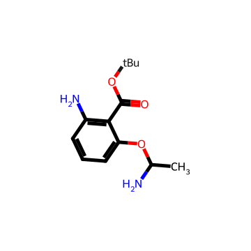 CC(N)Oc1cccc(N)c1C(=O)OC(C)(C)C